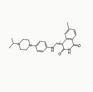 CC(C)N1CCN(c2ccc(N/C=C3\C(=O)NC(=O)c4ccc(I)cc43)cc2)CC1